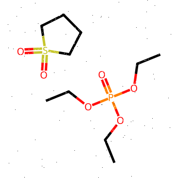 CCOP(=O)(OCC)OCC.O=S1(=O)CCCC1